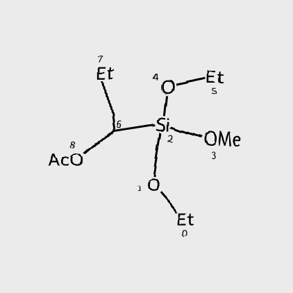 CCO[Si](OC)(OCC)C(CC)OC(C)=O